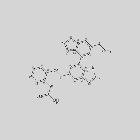 NCc1cc(-c2cc(COc3ccccc3CC(=O)O)cc3ccoc23)c2occc2c1